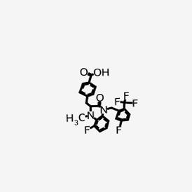 CN1c2c(F)cccc2N(Cc2cc(F)ccc2C(F)(F)F)C(=O)C1Cc1ccc(C(=O)O)cc1